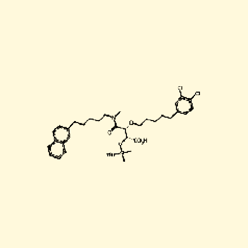 CN(CCCCCc1ccc2ccccc2c1)C(=O)[C@H](OCCCCCc1ccc(Cl)c(Cl)c1)[C@@H](O[Si](C)(C)C(C)(C)C)C(=O)O